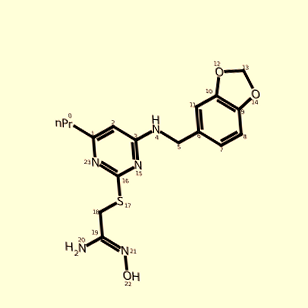 CCCc1cc(NCc2ccc3c(c2)OCO3)nc(SCC(N)=NO)n1